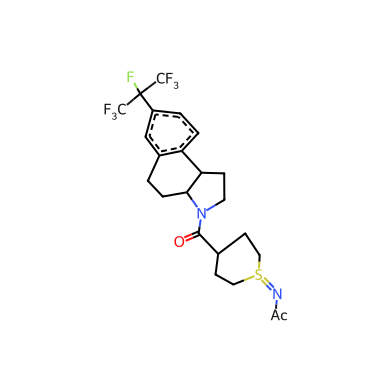 CC(=O)N=S1CCC(C(=O)N2CCC3c4ccc(C(F)(C(F)(F)F)C(F)(F)F)cc4CCC32)CC1